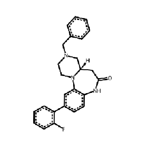 O=C1C[C@H]2CN(Cc3ccccc3)CCN2c2cc(-c3ccccc3F)ccc2N1